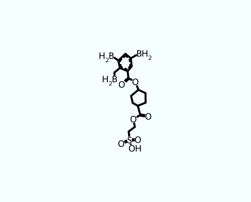 BCc1c(B)cc(B)cc1C(=O)OC1CCC(C(=O)OCCS(=O)(=O)O)CC1